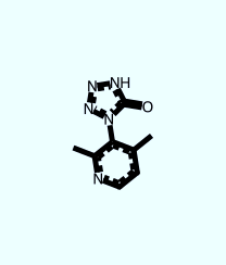 Cc1ccnc(C)c1-n1nn[nH]c1=O